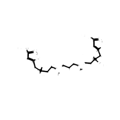 CC(C)(CC[S+]([O-])CCC[S+]([O-])CCC(C)(C)Cc1cc(O)no1)Cc1cc(O)no1